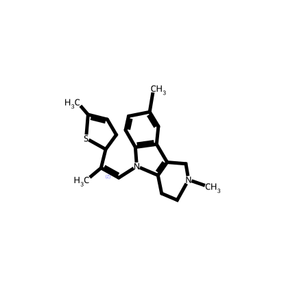 CC1=CCC(/C(C)=C\n2c3c(c4cc(C)ccc42)CN(C)CC3)S1